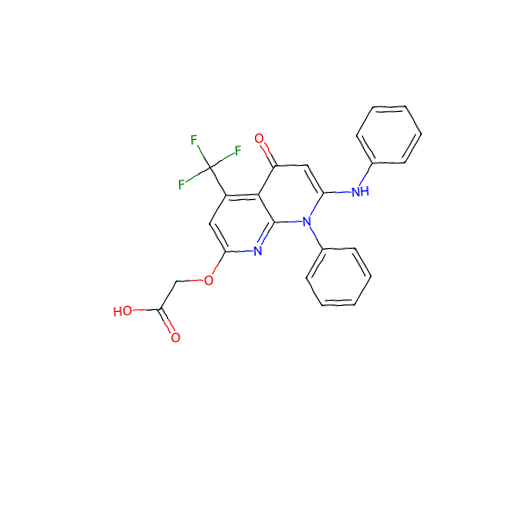 O=C(O)COc1cc(C(F)(F)F)c2c(=O)cc(Nc3ccccc3)n(-c3ccccc3)c2n1